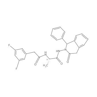 C[C@H](NC(=O)Cc1cc(F)cc(F)c1)C(=O)NN1C(=O)Cc2ccccc2C1c1ccccc1